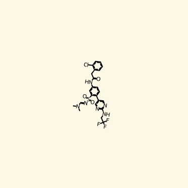 CN(C)C=NS(=O)(=O)c1cc(NC(=O)Cc2ccccc2Cl)ccc1-c1cnc(NCC(F)(F)F)nc1